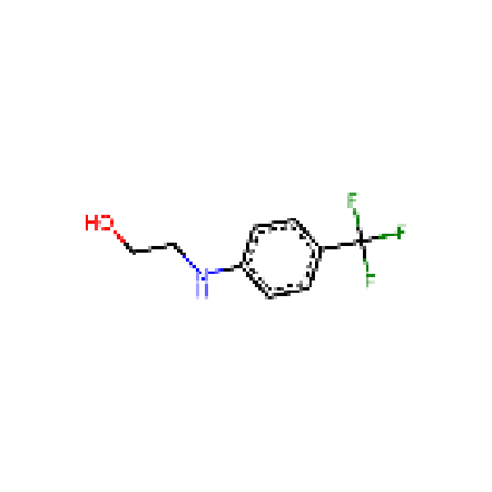 OCCNc1ccc(C(F)(F)F)cc1